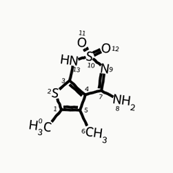 Cc1sc2c(c1C)C(N)=NS(=O)(=O)N2